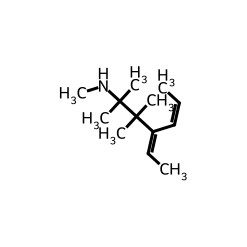 C/C=C\C(=C/C)C(C)(C)C(C)(C)NC